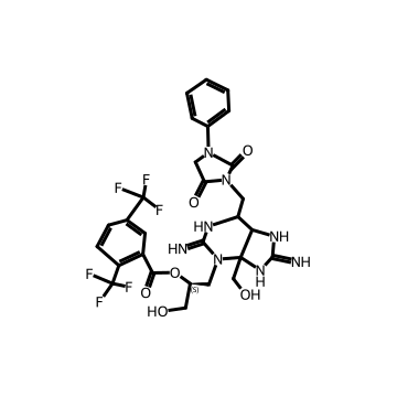 N=C1NC2C(CN3C(=O)CN(c4ccccc4)C3=O)NC(=N)N(C[C@@H](CO)OC(=O)c3cc(C(F)(F)F)ccc3C(F)(F)F)C2(CO)N1